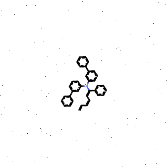 C=C/C=C\C=C(/c1ccccc1)N(c1cccc(-c2ccccc2)c1)c1cccc(-c2ccccc2)c1